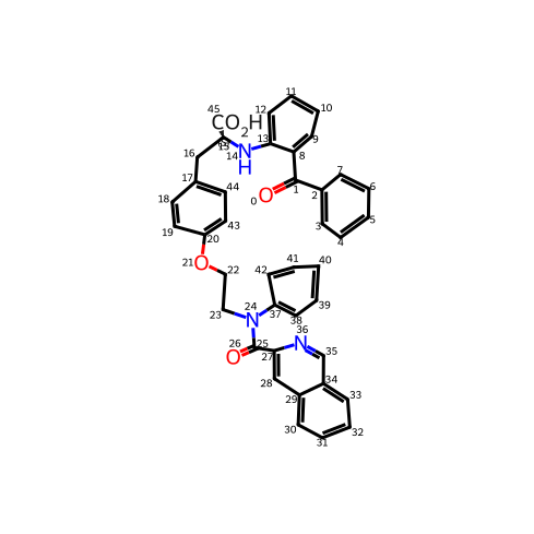 O=C(c1ccccc1)c1ccccc1N[C@@H](Cc1ccc(OCCN(C(=O)c2cc3ccccc3cn2)c2ccccc2)cc1)C(=O)O